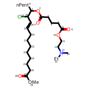 CCCCCC(OC(=O)CCCC(=O)OCCN(C)CC)C(Cl)C=CCCCCCCCC(=O)OC